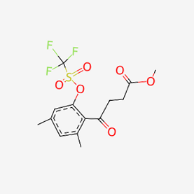 COC(=O)CCC(=O)c1c(C)cc(C)cc1OS(=O)(=O)C(F)(F)F